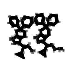 CON=C(c1n[nH]c2c1C=CC(c1ccccc1)(c1ccccn1)C2)C1CC1.ON=C(c1n[nH]c2c1C=CC(c1ccccc1)(c1ccccn1)C2)C1CC1